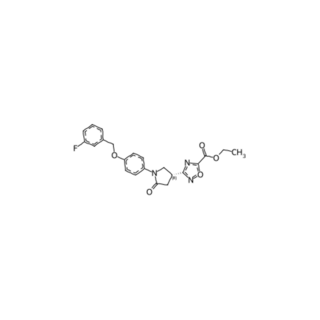 CCOC(=O)c1nc([C@@H]2CC(=O)N(c3ccc(OCc4cccc(F)c4)cc3)C2)no1